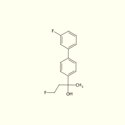 CC(O)(CCF)c1ccc(-c2cccc(F)c2)cc1